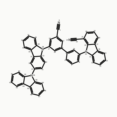 N#Cc1cc(-c2cccc(-n3c4ccccc4c4cccc(C#N)c43)c2)cc(-n2c3ccccc3c3cc(-n4c5ccccc5c5ccccc54)ccc32)c1